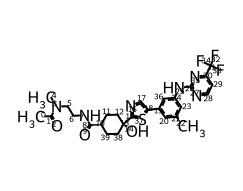 CC(=O)N(C)CCNC(=O)[C@H]1CC[C@](O)(c2ncc(-c3cc(C)cc(Nc4nccc(C(F)(F)F)n4)c3)s2)CC1